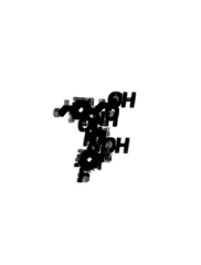 CCc1ccc(C(CC(=O)O)NC(=O)c2cc(O)n(-c3ccc(F)cc3F)n2)cc1